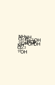 NOC1(C2(O)CC2)CC1.NOC1(C2(O)CC2)CC1.NOC1(C2(O)CC2)CC1.OB(O)O